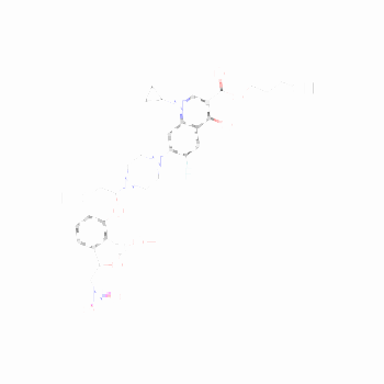 CCCCOC(=O)c1cn(C2CC2)c2cc(N3CCN(C(CC)Oc4cccc5c4B(O)OC5C[N+](=O)[O-])CC3)c(F)cc2c1=O